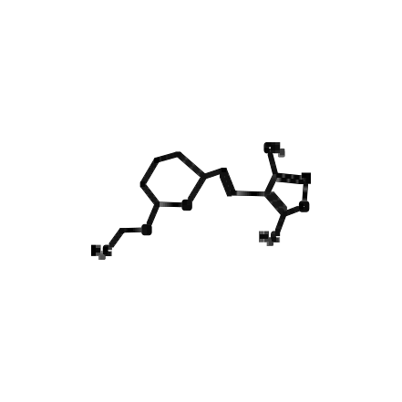 CCOC1CCCC(C=Cc2c(C)noc2C)O1